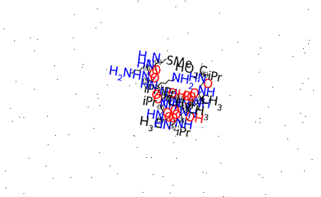 CSCC[C@H](N)C(=O)N[C@@H](CCCCN)C(=O)N[C@@H](CC(C)C)C(=O)N[C@@H](CCCCN)C(=O)N[C@H](C(=O)N[C@@H](CC(C)C)C(=O)N[C@@H](C)C(=O)N[C@@H](CC(C)C)C(=O)N[C@@H](CO)C(=O)N[C@@H](CC(C)C)C(=O)N[C@@H](CC(C)C)C(=O)N[C@@H](C)C(=O)N[C@@H](C)C(=O)NCC(=O)N[C@H](C(=O)O)C(C)C)[C@@H](C)O